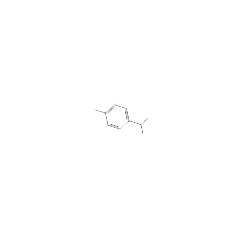 CC(S)c1ccc(S)cc1